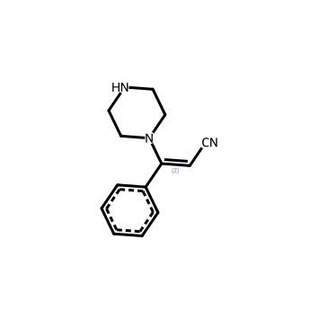 N#C/C=C(/c1ccccc1)N1CCNCC1